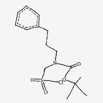 CC(C)(C)OC(=O)N(CCCc1ccccc1)CS(=O)(=O)Cl